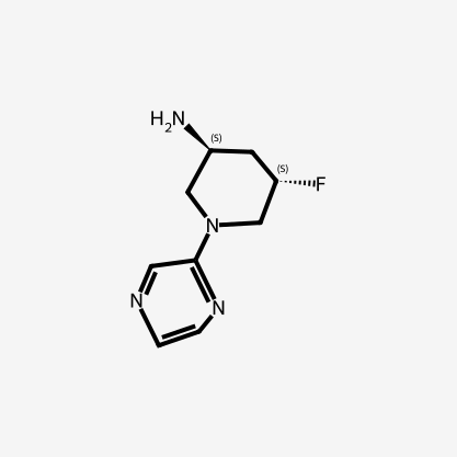 N[C@H]1C[C@H](F)CN(c2cnccn2)C1